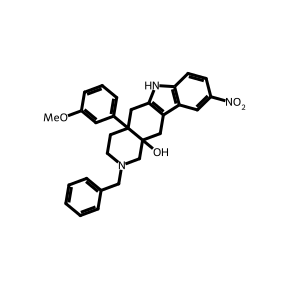 COc1cccc(C23CCN(Cc4ccccc4)CC2(O)Cc2c([nH]c4ccc([N+](=O)[O-])cc24)C3)c1